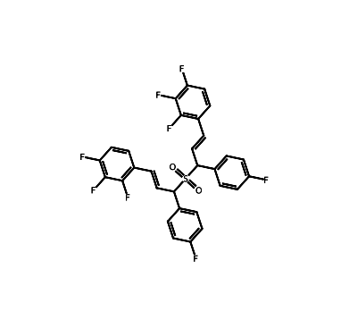 O=S(=O)(C(C=Cc1ccc(F)c(F)c1F)c1ccc(F)cc1)C(C=Cc1ccc(F)c(F)c1F)c1ccc(F)cc1